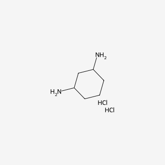 Cl.Cl.NC1CCCC(N)C1